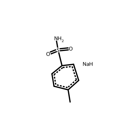 Cc1ccc(S(N)(=O)=O)cc1.[NaH]